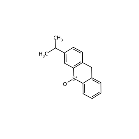 CC(C)c1ccc2c(c1)[S+]([O-])c1ccccc1C2